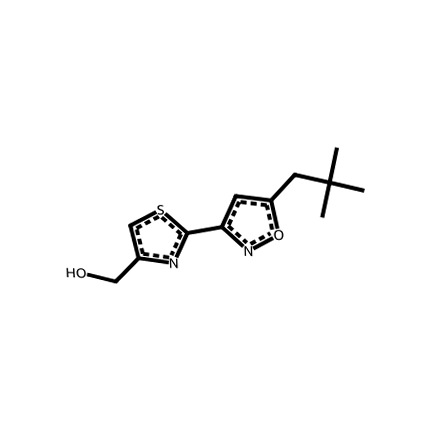 CC(C)(C)Cc1cc(-c2nc(CO)cs2)no1